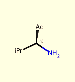 [C]C(=O)[C@@H](N)C(C)C